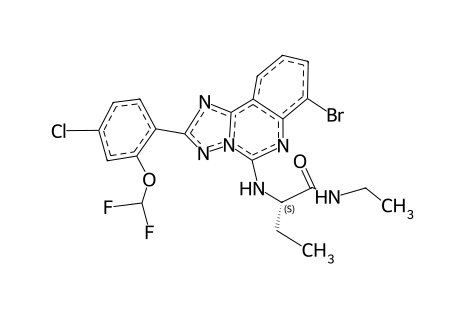 CCNC(=O)[C@H](CC)Nc1nc2c(Br)cccc2c2nc(-c3ccc(Cl)cc3OC(F)F)nn12